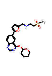 CS(=O)(=O)CCNCc1ccc(-c2ccc3ncnc(OC4CCCCO4)c3c2)o1